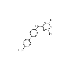 Nc1ccc(-c2ccc(Nc3nc(Cl)nc(Cl)n3)cc2)cc1